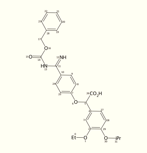 CCOc1cc(C(Oc2ccc(C(=N)NC(=O)OCc3ccccc3)cc2)C(=O)O)ccc1OC(C)C